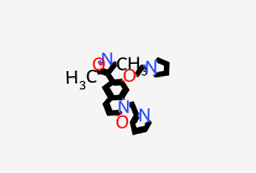 Cc1noc(C)c1-c1cc2ccc(=O)n(Cc3ccccn3)c2cc1OCCN1CCCC1